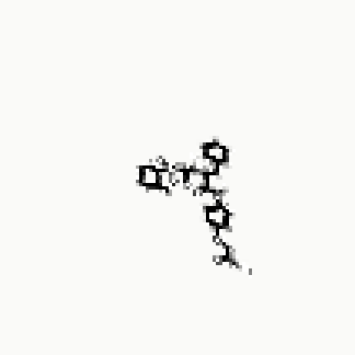 Cc1ccccc1S(=O)(=O)NC(=O)NC(Cc1ccccc1)C(=O)N(C)c1ccc(OCC(N)=O)cc1